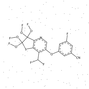 N#Cc1cc(F)cc(Oc2cnc3c(c2C(F)F)SC(OF)(OF)C3(OF)OF)c1